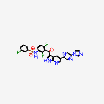 O=C(c1c(F)ccc(NS(=O)(=O)c2cccc(F)c2)c1F)c1c[nH]c2ncc(-c3cnc(-n4ccnc4)cn3)cc12